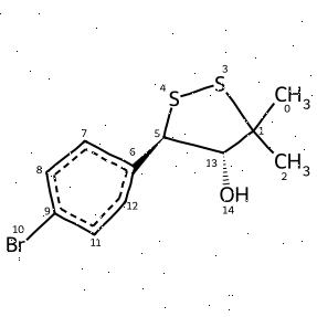 CC1(C)SS[C@H](c2ccc(Br)cc2)[C@H]1O